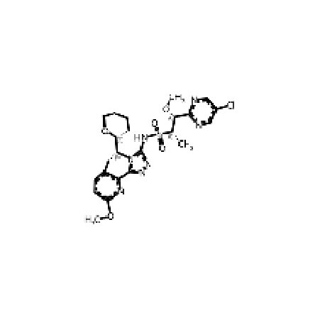 COc1ccc2c(n1)-c1nnc(NS(=O)(=O)[C@@H](C)[C@H](OC)c3ncc(Cl)cn3)n1[C@@H]([C@H]1CCCCO1)C2